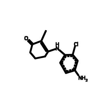 CC1=C(Nc2ccc(N)cc2Cl)CCCC1=O